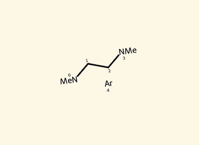 CNCCNC.[Ar]